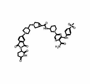 CS(=O)(=O)c1ccc(Nc2nc(N3CCCC(NC(=O)C4C5CN(CC6CCN(c7ccc8c(c7)C(=O)N(C7CCC(=O)NC7=O)C8=O)CC6)CC54)C3)cnc2C(N)=O)cc1